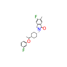 Cc1cc2c(cc1F)CN(C[C@H]1CC[C@H](C(C)Oc3cccc(F)c3)CC1)C2=O